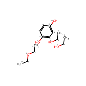 CCO.CCO.CCOCC.Oc1ccc(O)cc1